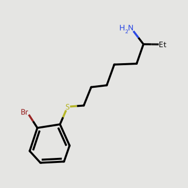 CCC(N)CCCCCSc1ccccc1Br